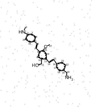 CNc1ccc(/C=C/c2cc(CO)c(/C=C/c3ccc(CN)cc3)cc2OC)cc1